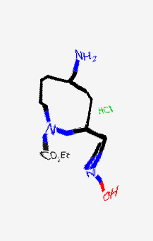 CCOC(=O)N1CCC(N)CC1C=NO.Cl